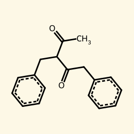 CC(=O)C(Cc1ccccc1)C(=O)Cc1ccccc1